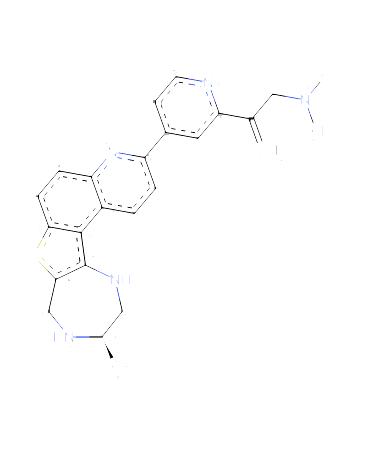 C=C(CN(C)C)c1cc(-c2ccc3c(ccc4sc5c(c43)NC[C@@H](C)NC5)n2)ccn1